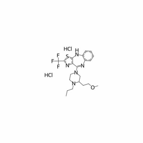 CCCN1CCN(C2=Nc3ccccc3Nc3sc(C(F)(F)F)nc32)CC1CCOC.Cl.Cl